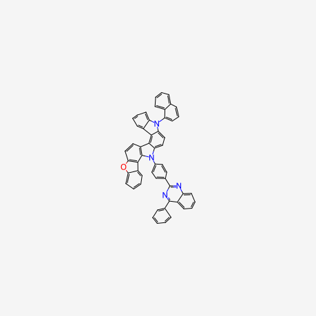 c1ccc(-c2nc(-c3ccc(-n4c5ccc6c(c7ccccc7n6-c6cccc7ccccc67)c5c5ccc6oc7ccccc7c6c54)cc3)nc3ccccc23)cc1